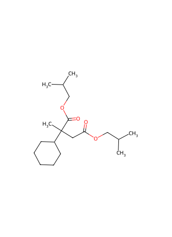 CC(C)COC(=O)CC(C)(C(=O)OCC(C)C)C1CCCCC1